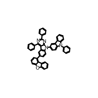 c1ccc(-c2nc(-c3ccccc3)c3c4cc(-c5cccc6oc7ccccc7c56)ccc4n(-c4ccc5c(c4)c4ccccc4n5-c4ccccc4)c3n2)cc1